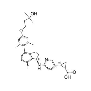 Cc1cc(OCCC(C)(C)O)cc(C)c1-c1ccc(F)c2c1CC[C@H]2Nc1ccc([C@@H]2CC2C(=O)O)cn1